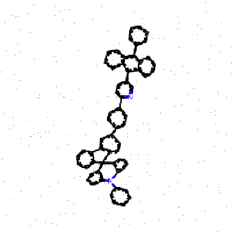 c1ccc(-c2c3ccccc3c(-c3ccc(-c4ccc(-c5ccc6c(c5)-c5ccccc5C65c6ccccc6N(c6ccccc6)c6ccccc65)cc4)nc3)c3ccccc23)cc1